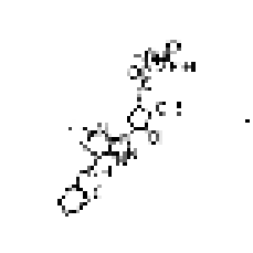 O=P(O)(O)CP(=O)(O)OC[C@H]1C[C@@H](n2nnc3c(NCc4ccccc4Cl)nc(Cl)nc32)[C@H](O)[C@@H]1O